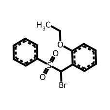 CCOc1ccccc1C(Br)S(=O)(=O)c1ccccc1